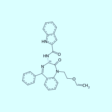 C=COCCN1C(=O)[C@@H](NC(=O)c2cc3ccccc3[nH]2)N=C(c2ccccc2)c2ccccc21